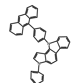 c1ccc(-n2ccc3c2ccc2c4ccccc4n(-c4ccc(-c5c6ccccc6cc6ccccc56)cc4)c23)cc1